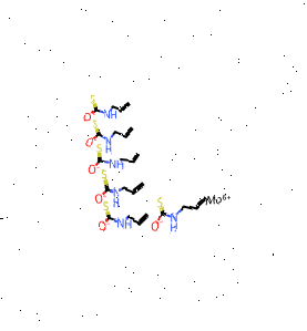 C=CCNC([O-])=S.C=CCNC([O-])=S.C=CCNC([O-])=S.C=CCNC([O-])=S.C=CCNC([O-])=S.C=CCNC([O-])=S.[Mo+6]